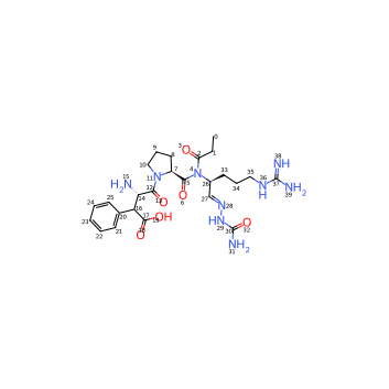 CCC(=O)N(C(=O)[C@@H]1CCCN1C(=O)[C@@H](N)C(C(=O)O)c1ccccc1)[C@H](C=NNC(N)=O)CCCNC(=N)N